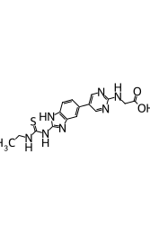 CCNC(=S)Nc1nc2cc(-c3cnc(NCC(=O)O)nc3)ccc2[nH]1